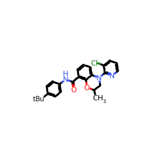 CC1CN(c2ncccc2Cl)c2cccc(C(=O)Nc3ccc(C(C)(C)C)cc3)c2O1